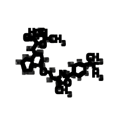 Cc1oc(-c2ccc(C(C)C)cc2)nc1CCOc1ccc(CC(OC(C)C)C(=O)O)c2ccccc12